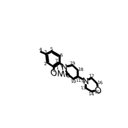 COc1cc(C)ccc1N1CCC(N2CCOCC2)CC1